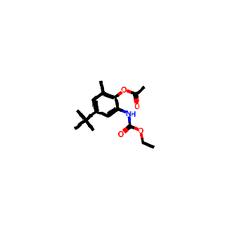 CCOC(=O)Nc1cc(C(C)(C)C)cc(C)c1OC(C)=O